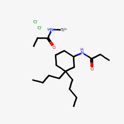 CCC(=O)[NH][Ti+2].CCCCC1(CCCC)CCCC(NC(=O)CC)C1.[Cl-].[Cl-]